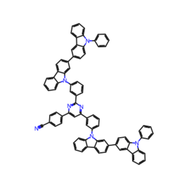 N#Cc1ccc(-c2cc(-c3cccc(-n4c5ccccc5c5ccc(-c6ccc7c(c6)c6ccccc6n7-c6ccccc6)cc54)c3)nc(-c3cccc(-n4c5ccccc5c5ccc(-c6ccc7c(c6)c6ccccc6n7-c6ccccc6)cc54)c3)n2)cc1